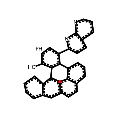 Oc1ccc(-c2ccc3cccnc3n2)c(-c2cccc3ccccc23)c1-c1cccc2ccccc12.P